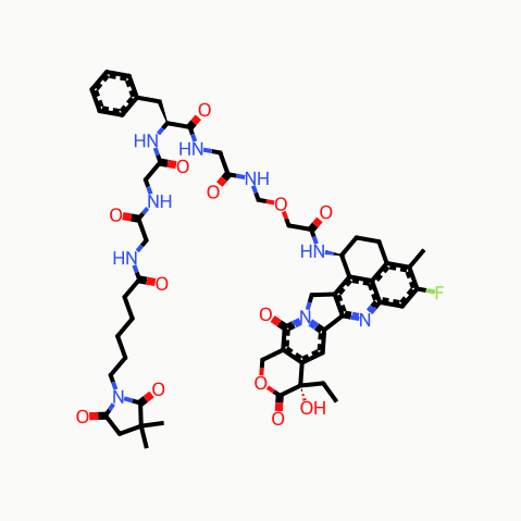 CC[C@@]1(O)C(=O)OCc2c1cc1n(c2=O)Cc2c-1nc1cc(F)c(C)c3c1c2[C@@H](NC(=O)COCNC(=O)CNC(=O)[C@H](Cc1ccccc1)NC(=O)CNC(=O)CNC(=O)CCCCCN1C(=O)CC(C)(C)C1=O)CC3